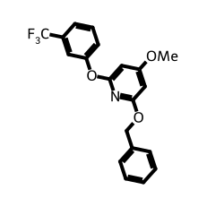 COc1cc(OCc2ccccc2)nc(Oc2cccc(C(F)(F)F)c2)c1